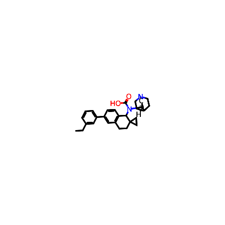 CCc1cccc(-c2ccc3c(c2)CCC2(CC2)C3N(C(=O)O)[C@@H]2CN3CCC2CC3)c1